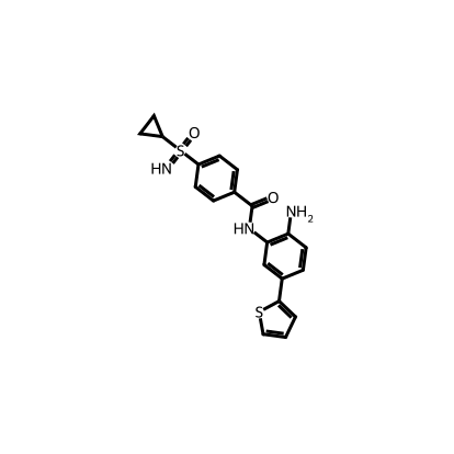 N=S(=O)(c1ccc(C(=O)Nc2cc(-c3cccs3)ccc2N)cc1)C1CC1